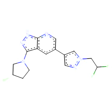 FC(F)Cn1cc(-c2cnc3[nH]nc(N4CC[C@H](F)C4)c3c2)cn1